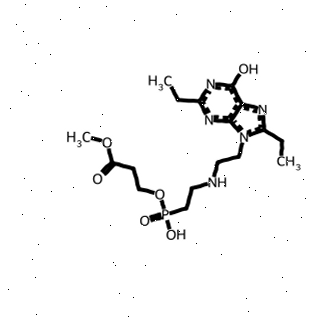 CCc1nc(O)c2nc(CC)n(CCNCCP(=O)(O)OCCC(=O)OC)c2n1